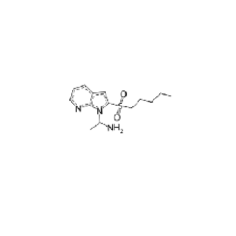 CCCCCS(=O)(=O)c1cc2cccnc2n1C(C)N